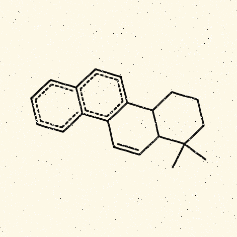 CC1(C)CCCC2c3ccc4ccccc4c3C=CC21